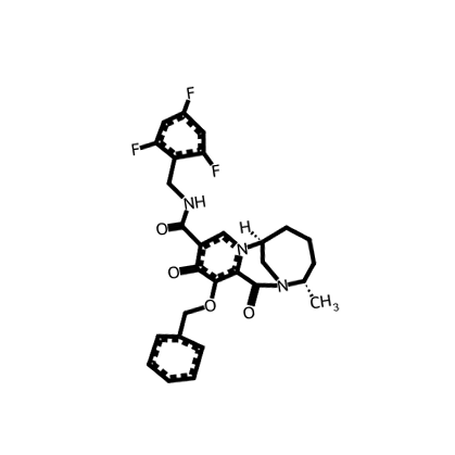 C[C@H]1CCC[C@H]2CN1C(=O)c1c(OCc3ccccc3)c(=O)c(C(=O)NCc3c(F)cc(F)cc3F)cn12